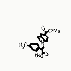 COC(=O)c1ccc2c(c1)CCN2C=C(C(=O)C(C)(C)C)c1ccc(C)cc1